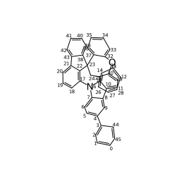 c1ccc(-c2ccc3c(c2)c2ccccc2n3-c2cccc3c2C2(Cc4ccccc4Oc4ccccc42)c2ccccc2-3)cc1